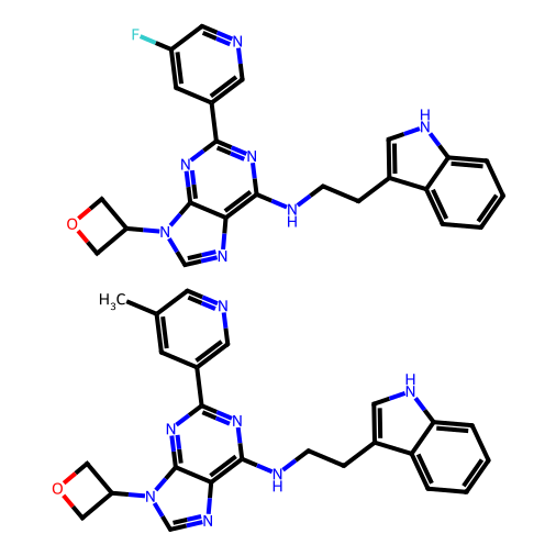 Cc1cncc(-c2nc(NCCc3c[nH]c4ccccc34)c3ncn(C4COC4)c3n2)c1.Fc1cncc(-c2nc(NCCc3c[nH]c4ccccc34)c3ncn(C4COC4)c3n2)c1